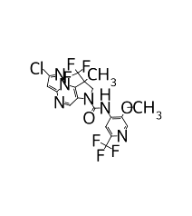 COc1cnc(C(F)(F)F)cc1NC(=O)N1CC(C)(C(F)(F)F)c2c1cnc1cc(Cl)nn21